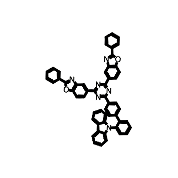 c1ccc(-c2nc3cc(-c4nc(-c5ccc(-c6ccccc6-n6c7ccccc7c7ccccc76)cc5)nc(-c5ccc6oc(-c7ccccc7)nc6c5)n4)ccc3o2)cc1